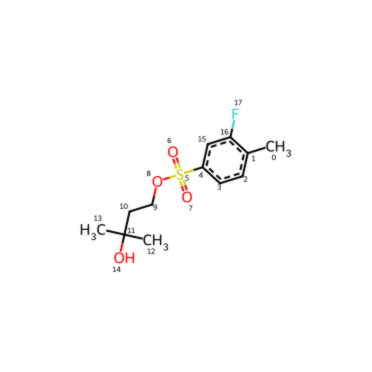 Cc1ccc(S(=O)(=O)OCCC(C)(C)O)cc1F